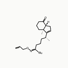 C=CCO/N=C(\CCC[C@@H](C)C1=CC[C@H]2C(=O)CCC[C@]12C)C(C)(C)C